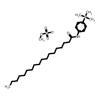 CCCCCCCCCCCCCCCCCC(=O)Nc1ccc([N+](C)(C)C)cc1.COS(=O)(=O)[O-]